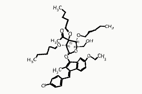 CCCCCO[C@@H]1[C@@H](CO)O[C](OC2=C(C)C(=Cc3ccc(Cl)cc3)c3ccc(OCC)cc32)[C@H](OCCCCC)[C@]1(OCCCCC)C(C)=O